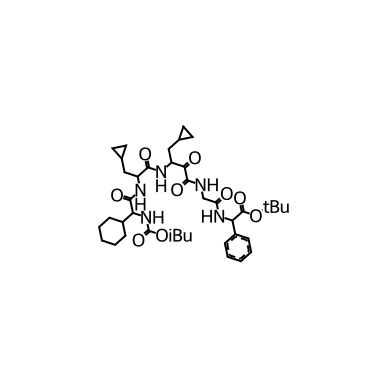 CC(C)COC(=O)NC(C(=O)NC(CC1CC1)C(=O)NC(CC1CC1)C(=O)C(=O)NCC(=O)NC(C(=O)OC(C)(C)C)c1ccccc1)C1CCCCC1